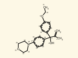 C=C(C)C(O)(c1ccc(OCC)cc1)c1ccc(N2CCOCC2)cc1